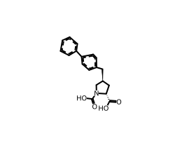 O=C(O)[C@H]1C[C@H](Cc2ccc(-c3ccccc3)cc2)CN1C(=O)O